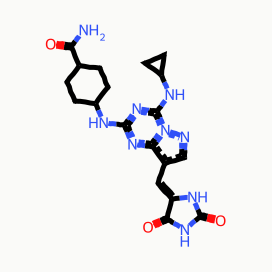 NC(=O)C1CCC(Nc2nc(NC3CC3)n3ncc(/C=C4\NC(=O)NC4=O)c3n2)CC1